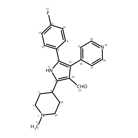 CN1CCC(c2[nH]c(-c3ccc(F)cc3)c(-c3ccncc3)c2C=O)CC1